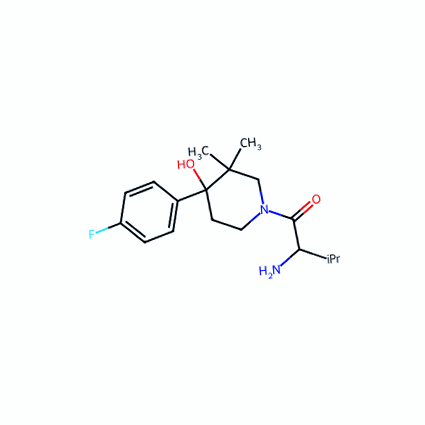 CC(C)C(N)C(=O)N1CCC(O)(c2ccc(F)cc2)C(C)(C)C1